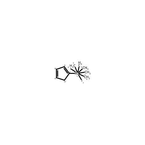 [CH3][Ru]([CH3])([CH3])([CH3])([CH3])([I])([I])[C]1=CC=CC1